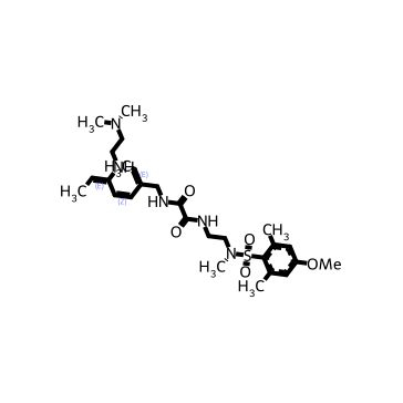 C\C=C(/C=C\C(=C/C)NCCN(C)C)CNC(=O)C(=O)NCCN(C)S(=O)(=O)c1c(C)cc(OC)cc1C